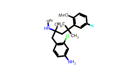 CCCNC(Cc1ccc(N)cc1Cl)(CC(C)(C)c1cc(F)ccc1OC)C(F)(F)F